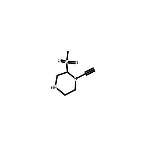 C#CN1CCNCC1S(C)(=O)=O